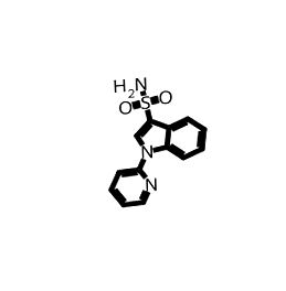 NS(=O)(=O)c1cn(-c2ccccn2)c2ccccc12